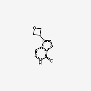 O=c1[nH]ccc2c1ccn2C1COC1